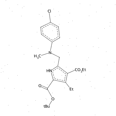 CCOC(=O)c1c(CN(C)c2ccc(Cl)cc2)[nH]c(C(=O)OC(C)(C)C)c1CC